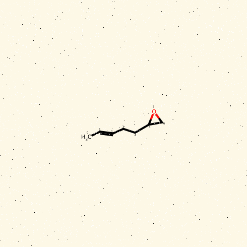 CC=CCCC1CO1